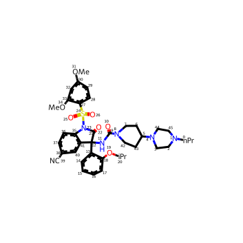 CCCN1CCN(C2CCN(C(=O)NC3(c4ccccc4OC(C)C)C(=O)N(S(=O)(=O)c4ccc(OC)cc4OC)c4ccc(C#N)cc43)CC2)CC1